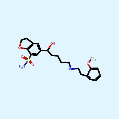 NS(=O)(=O)c1cc(C(O)CCCCNCCc2ccccc2OC(F)(F)F)cc2c1OCC2